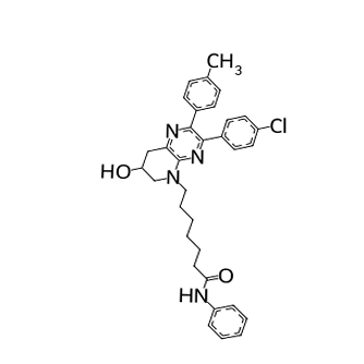 Cc1ccc(-c2nc3c(nc2-c2ccc(Cl)cc2)N(CCCCCCC(=O)Nc2ccccc2)CC(O)C3)cc1